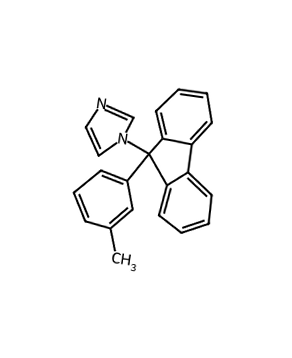 Cc1cccc(C2(n3ccnc3)c3ccccc3-c3ccccc32)c1